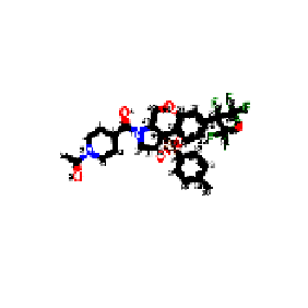 CC(=O)N1CCC(C(=O)N2CCC3(S(=O)(=O)c4ccc(C)cc4)c4ccc(C(F)(C(F)(F)F)C(F)(F)F)cc4OCC23)CC1